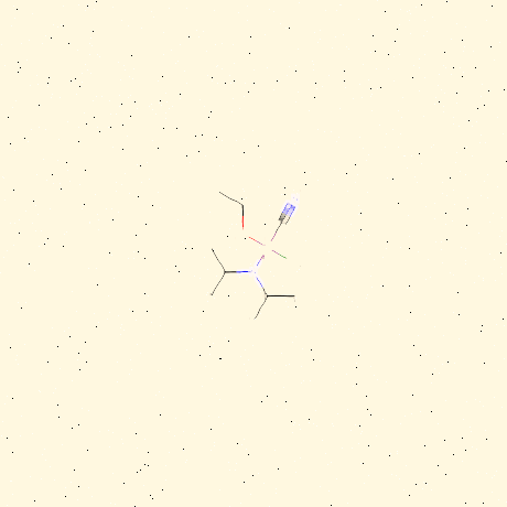 CCO[PH](Cl)(C#N)N(C(C)C)C(C)C